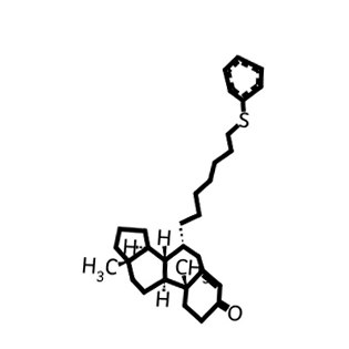 C[C@@]12CCC[C@H]1[C@@H]1[C@H](CCCCCCCSc3ccccc3)CC3=CC(=O)CC[C@]3(C)[C@H]1CC2